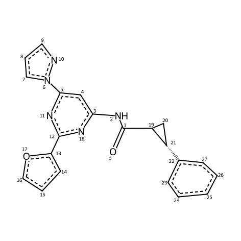 O=C(Nc1cc(-n2cccn2)nc(-c2ccco2)n1)C1C[C@@H]1c1ccccc1